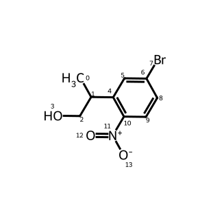 CC(CO)c1cc(Br)ccc1[N+](=O)[O-]